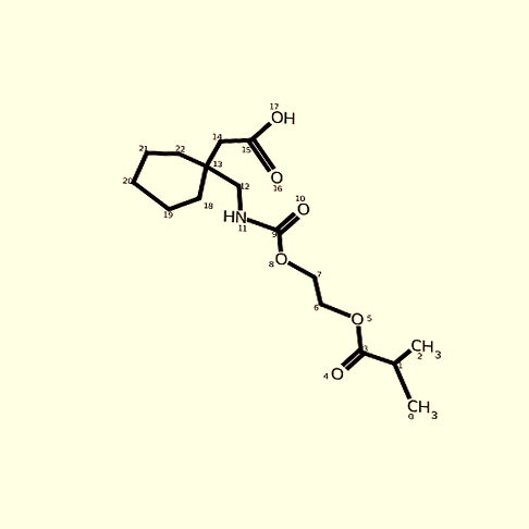 CC(C)C(=O)OCCOC(=O)NCC1(CC(=O)O)CCCCC1